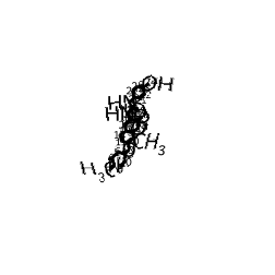 Cc1c(OC2CCN(C)CC2)ccc2cc(NC(=O)Nc3ccc(O)cc3)c(=O)oc12